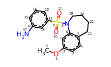 COc1ccc2c(c1)N(S(=O)(=O)c1cccc(N)c1)CCCC2